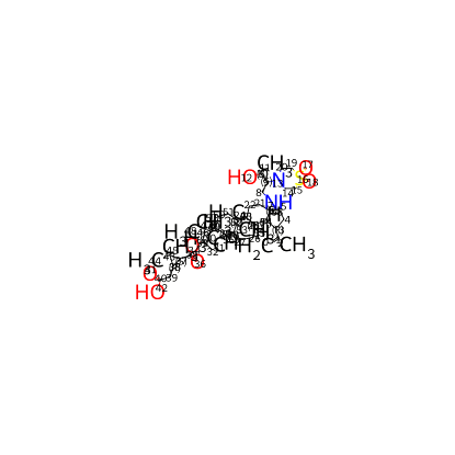 C=C(C)[C@@H]1CC[C@]2(NC[C@@H]([C@H](C)O)N3CCS(=O)(=O)CC3)CC[C@]3(C)[C@H](CC[C@@H]4[C@@]5(C)CC[C@H](OC(=O)[C@H]6[C@@H](CC(=O)O)C6(C)C)C(C)(C)[C@@H]5CC[C@]43C)[C@@H]12